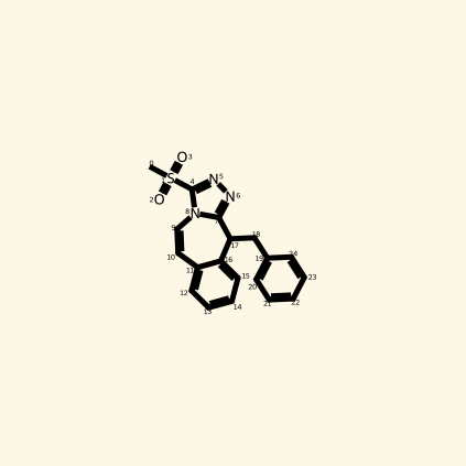 CS(=O)(=O)c1nnc2n1C=Cc1ccccc1C2Cc1ccccc1